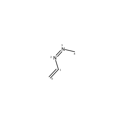 C=C/N=N\C